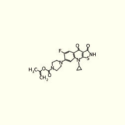 C=C(C)OC(=O)N1CCN(c2cc3c(cc2F)c(=O)c2c(=O)[nH]sc2n3C2CC2)CC1